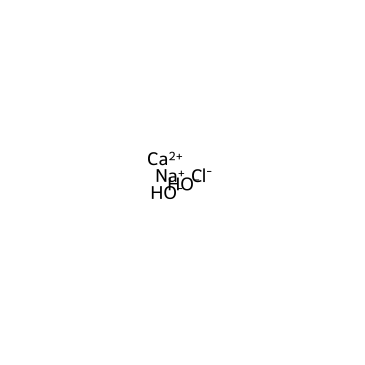 [Ca+2].[Cl-].[Na+].[OH-].[OH-]